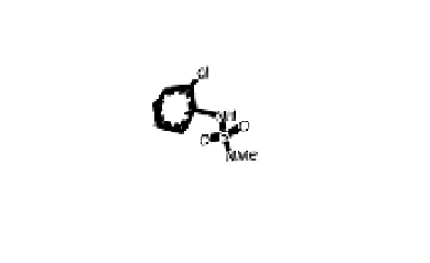 CNS(=O)(=O)Nc1c[c]ccc1Cl